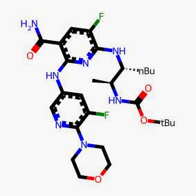 CCCC[C@@H](Nc1nc(Nc2cnc(N3CCOCC3)c(F)c2)c(C(N)=O)cc1F)[C@H](C)NC(=O)OC(C)(C)C